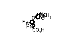 CCOc1cc(Oc2ccc(S(C)(=O)=O)nc2)cc2cc(C(=O)O)[nH]c12